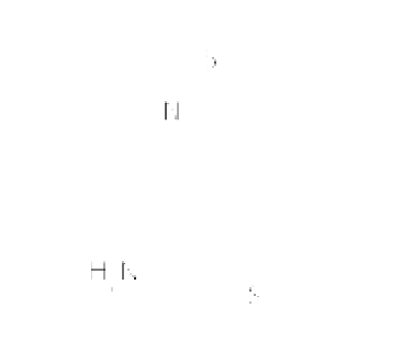 Nc1sccc1N=S